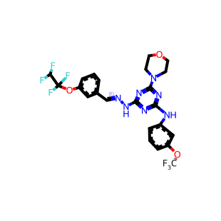 FC(F)C(F)(F)Oc1cccc(/C=N/Nc2nc(Nc3cccc(OC(F)(F)F)c3)nc(N3CCOCC3)n2)c1